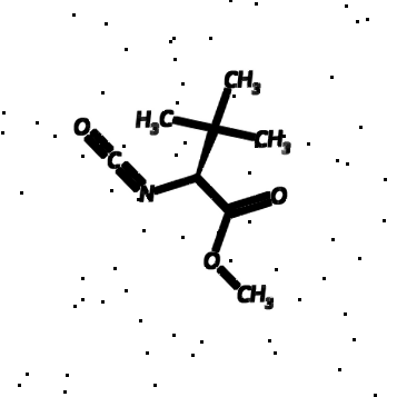 COC(=O)[C@@H](N=C=O)C(C)(C)C